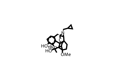 COC12CCC3(CC1C(C)(O)C(C)(C)C)C1[N@](CC4CC4)[C@@]14Cc1ccc(O)c5c1[C@@]3(C4)C2O5